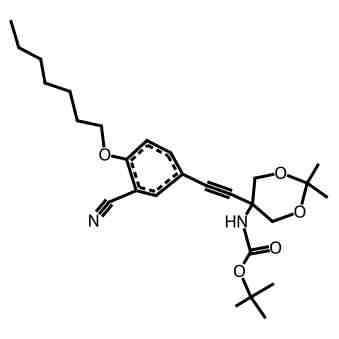 CCCCCCCOc1ccc(C#CC2(NC(=O)OC(C)(C)C)COC(C)(C)OC2)cc1C#N